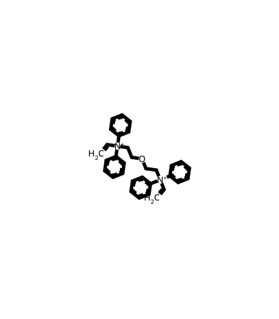 C=C[N+](CCOCC[N+](C=C)(c1ccccc1)c1ccccc1)(c1ccccc1)c1ccccc1